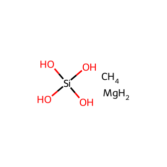 C.O[Si](O)(O)O.[MgH2]